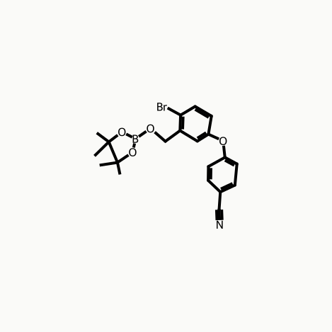 CC1(C)OB(OCc2cc(Oc3ccc(C#N)cc3)ccc2Br)OC1(C)C